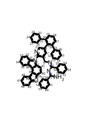 N/C(=N\C(=N/Cc1cc(-c2c(-c3ccccc3)cccc2-c2ccccc2)cnc1-n1c2ccccc2c2c3c(ccc21)oc1ccccc13)c1ccccc1)c1ccccc1